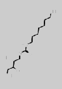 CCCCCCCCNC(=O)NC[C@@H](O)C(O)CC